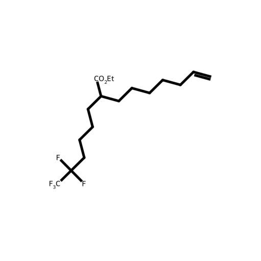 C=CCCCCCC(CCCCC(F)(F)C(F)(F)F)C(=O)OCC